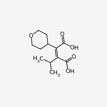 CC(C)/C(C(=O)O)=C(/C(=O)O)C1CCOCC1